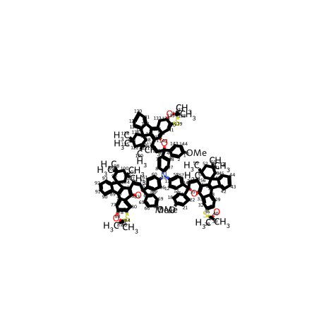 COc1ccc(C2(c3ccc(N(c4ccc(C5(c6ccc(OC)cc6)C=Cc6c7c(c8cc9c(cc8c6O5)SC(C)(C)O9)-c5ccccc5C75CC(C)(C)CC(C)(C)C5)cc4)c4ccc(C5(c6ccc(OC)cc6)C=Cc6c7c(c8cc9c(cc8c6O5)SC(C)(C)O9)-c5ccccc5C75CC(C)(C)CC(C)(C)C5)cc4)cc3)C=Cc3c(c4c(c5c3C3(CC(C)(C)CC(C)(C)C3)c3ccccc3-5)CC3OC(C)(C)SC3=C4)O2)cc1